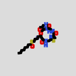 CCCCCCCC(=O)SCC/C=C/[C@@H]1CC(=O)NCc2nc(cs2)C(=O)NCC(=O)N[C@@H](C(C)C)C(=O)O1